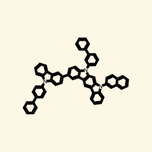 c1ccc(-c2ccc(-n3c4ccccc4c4cc(-c5ccc6c(c5)c5cc7c8ccccc8n(-c8ccc9ccccc9c8)c7cc5n6-c5cccc(-c6ccccc6)c5)ccc43)cc2)cc1